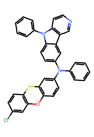 Clc1ccc2c(c1)Oc1ccc(N(c3ccccc3)c3ccc4c(c3)c3cnccc3n4-c3ccccc3)cc1S2